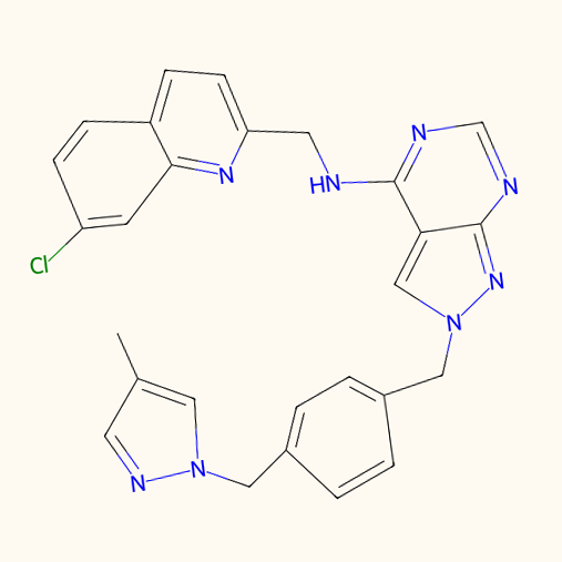 Cc1cnn(Cc2ccc(Cn3cc4c(NCc5ccc6ccc(Cl)cc6n5)ncnc4n3)cc2)c1